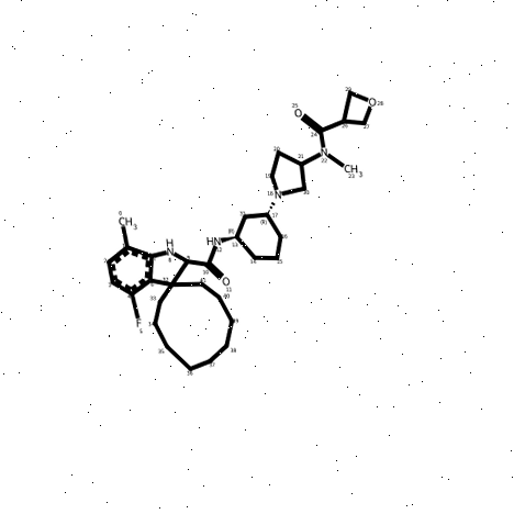 Cc1ccc(F)c2c1NC(C(=O)N[C@@H]1CCC[C@@H](N3CCC(N(C)C(=O)C4COC4)C3)C1)C21CCCCCCCCC1